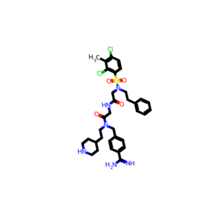 Cc1c(Cl)ccc(S(=O)(=O)N(CCc2ccccc2)CC(=O)NCC(=O)N(CCC2CCNCC2)Cc2ccc(C(=N)N)cc2)c1Cl